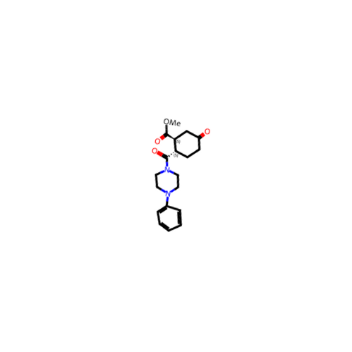 COC(=O)[C@H]1CC(=O)CC[C@@H]1C(=O)N1CCN(c2ccccc2)CC1